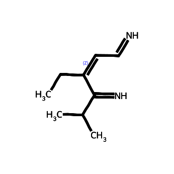 CC/C(=C/C=N)C(=N)C(C)C